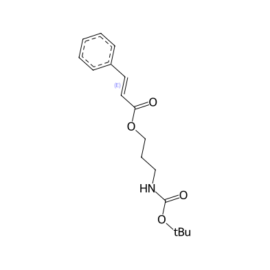 CC(C)(C)OC(=O)NCCCOC(=O)/C=C/c1ccccc1